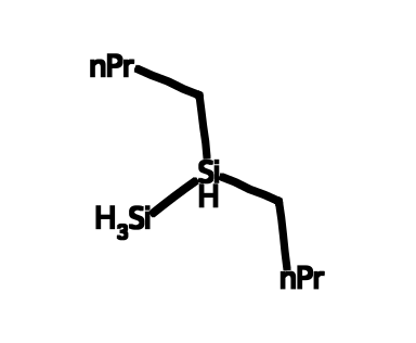 CCCC[SiH]([SiH3])CCCC